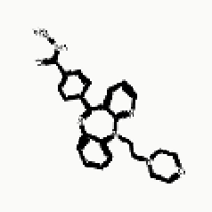 O=C(NO)c1ccc(C2=Nc3ccccc3N(CCN3CCOCC3)c3ncccc32)cc1